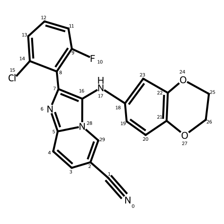 N#Cc1ccc2nc(-c3c(F)cccc3Cl)c(Nc3ccc4c(c3)OCCO4)n2c1